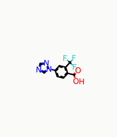 O=C(O)c1ccc(-n2cncn2)cc1C(F)(F)F